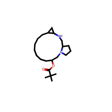 CC(C)(C)C(=O)OC1CCCCCCCC2CC2NCC2CCCN2C1